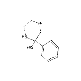 OC1(c2ccccc2)C[N]CCN1